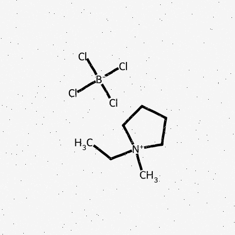 CC[N+]1(C)CCCC1.Cl[B-](Cl)(Cl)Cl